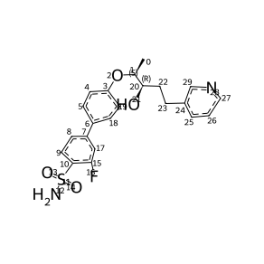 C[C@H](Oc1ccc(-c2ccc(S(N)(=O)=O)c(F)c2)cc1)[C@H](O)CCc1cccnc1